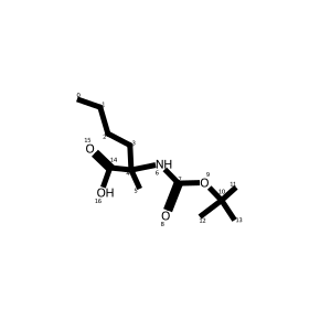 CCCCC(C)(NC(=O)OC(C)(C)C)C(=O)O